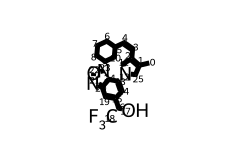 CC1=C(/C=C\C2CCCCC2)CN(c2cc(C(O)C(F)(F)F)cc3nonc23)C1